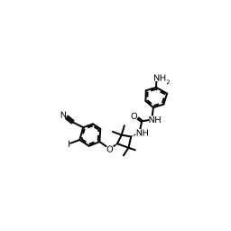 CC1(C)[C@H](NC(=O)Nc2ccc(N)cc2)C(C)(C)[C@H]1Oc1ccc(C#N)c(I)c1